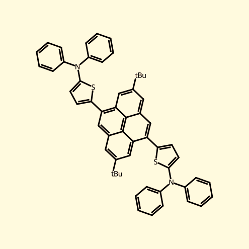 CC(C)(C)c1cc2cc(-c3ccc(N(c4ccccc4)c4ccccc4)s3)c3cc(C(C)(C)C)cc4cc(-c5ccc(N(c6ccccc6)c6ccccc6)s5)c(c1)c2c43